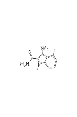 Cc1cccc2c1c(N)c(C(N)=O)n2C